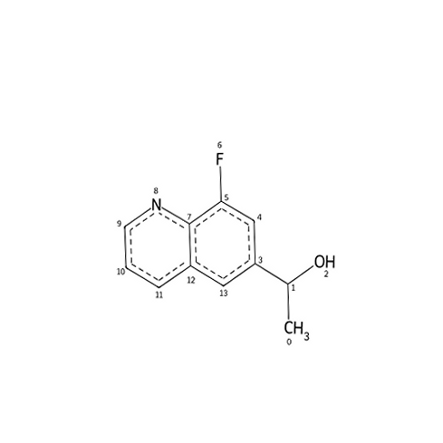 CC(O)c1cc(F)c2ncccc2c1